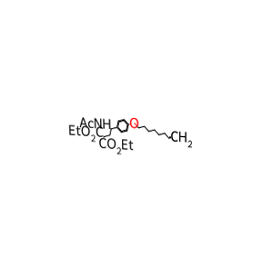 C=CCCCCCCOc1ccc(C(CC(C(=O)OCC)C(=O)OCC)NC(C)=O)cc1